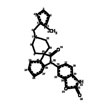 Cn1ccnc1CN1CCC2(CC1)C(=O)N(c1ccc3[nH]c(=O)oc3c1)c1ccccc12